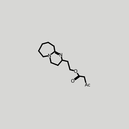 CC(=O)CC(=O)OCCC1CCN2CCCCCC2=N1